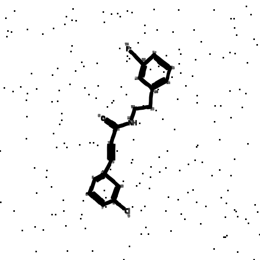 O=C(C#Cc1cccc(Cl)c1)NCCc1cccc(F)c1